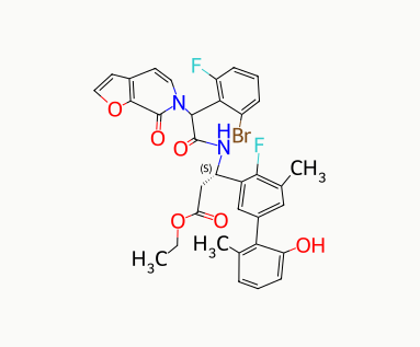 CCOC(=O)C[C@H](NC(=O)C(c1c(F)cccc1Br)n1ccc2ccoc2c1=O)c1cc(-c2c(C)cccc2O)cc(C)c1F